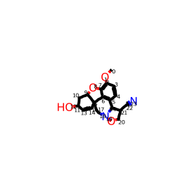 COc1ccc2c3c1OC1CC(O)C=CC31CCN1OCC(C#N)C21